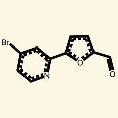 O=Cc1ccc(-c2cc(Br)ccn2)o1